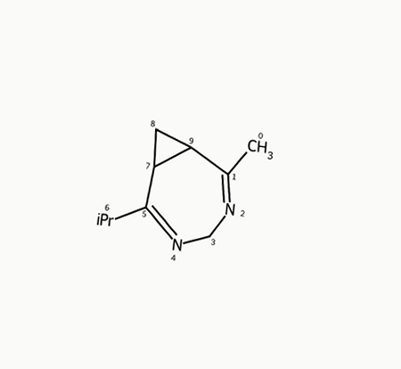 CC1=NCN=C(C(C)C)C2CC12